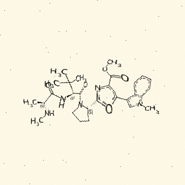 CN[C@@H](C)C(=O)N[C@H](C(=O)N1CCC[C@H]1c1nc(C(=O)OC)c(-c2cn(C)c3ccccc23)o1)C(C)(C)C